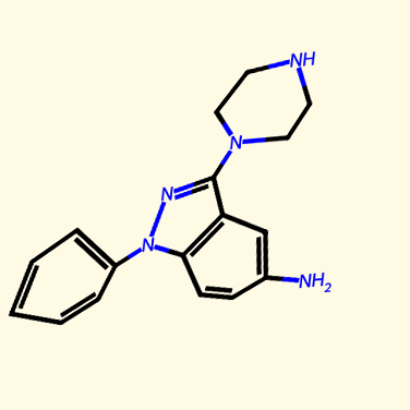 Nc1ccc2c(c1)c(N1CCNCC1)nn2-c1ccccc1